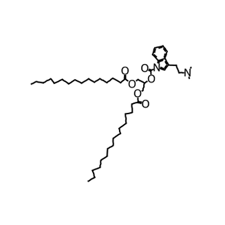 CCCCCCCCCCCCCCCC(=O)OCC(COC(=O)CCCCCCCCCCCCCCC)OC(=O)n1cc(CCN(C)C)c2ccccc21